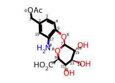 CC(=O)OCc1ccc(O[C@@H]2O[C@H](C(=O)O)[C@@H](O)[C@H](O)[C@H]2O)c(N)c1